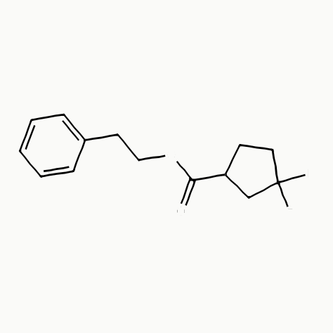 O=C(OCCc1ccccc1)C1CCC(F)(F)C1